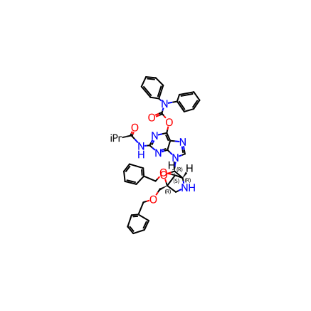 CC(C)C(=O)Nc1nc(OC(=O)N(c2ccccc2)c2ccccc2)c2ncn([C@@H]3O[C@@]4(COCc5ccccc5)CN[C@@H]3[C@@H]4OCc3ccccc3)c2n1